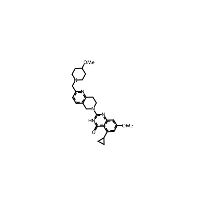 COc1cc(C2CC2)c2c(=O)[nH]c(N3CCc4nc(CN5CCC(OC)CC5)ccc4C3)nc2c1